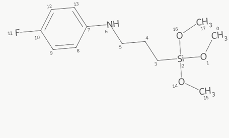 CO[Si](CCCNc1ccc(F)cc1)(OC)OC